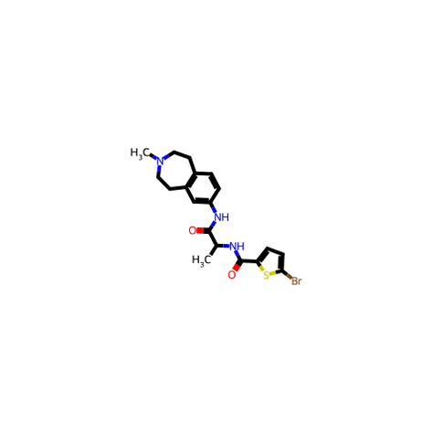 CC(NC(=O)c1ccc(Br)s1)C(=O)Nc1ccc2c(c1)CCN(C)CC2